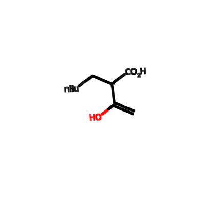 C=C(O)[C](CCCCC)C(=O)O